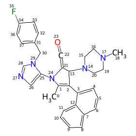 CC1=C(c2cccc3ccccc23)C(N2CCN(C)CC2)C(=C=O)N1c1cncn1Cc1ccc(F)cc1